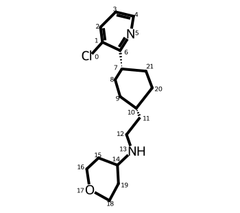 Clc1cccnc1[C@H]1CC[C@@H](CCNC2CCOCC2)CC1